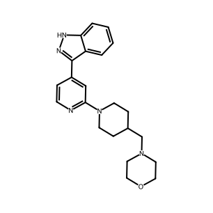 c1ccc2c(-c3ccnc(N4CCC(CN5CCOCC5)CC4)c3)n[nH]c2c1